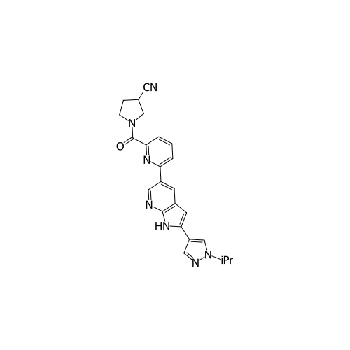 CC(C)n1cc(-c2cc3cc(-c4cccc(C(=O)N5CCC(C#N)C5)n4)cnc3[nH]2)cn1